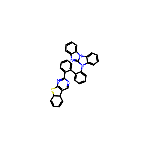 C1=CC2Sc3nc(-c4ccccc4-c4ccccc4-n4c5ccccc5n5c6ccccc6nc45)ncc3C2C=C1